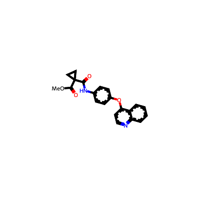 COC(=O)C1(C(=O)Nc2ccc(Oc3ccnc4ccccc34)cc2)CC1